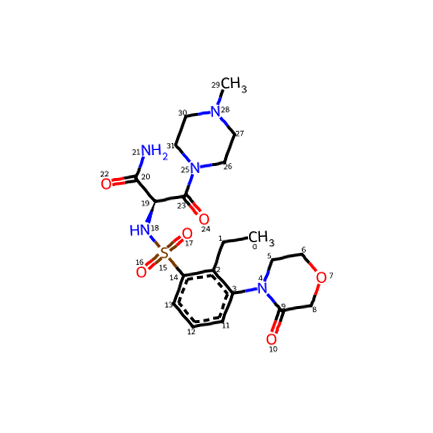 CCc1c(N2CCOCC2=O)cccc1S(=O)(=O)N[C@@H](C(N)=O)C(=O)N1CCN(C)CC1